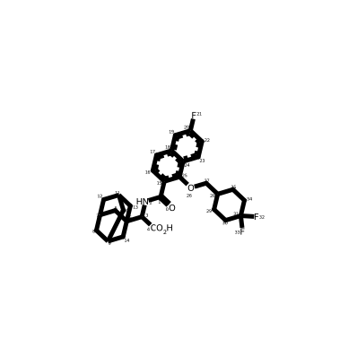 O=C(NC(C(=O)O)C12CC3CC(CC(C3)C1)C2)c1ccc2cc(F)ccc2c1OCC1CCC(F)(F)CC1